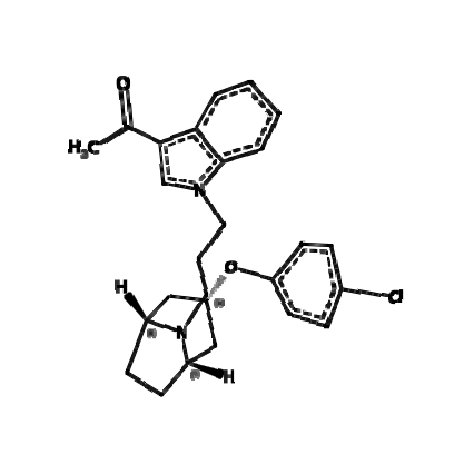 CC(=O)c1cn(CCCN2[C@@H]3CC[C@H]2C[C@@H](Oc2ccc(Cl)cc2)C3)c2ccccc12